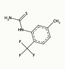 Cc1ccc(C(F)(F)F)c(NC(N)=S)c1